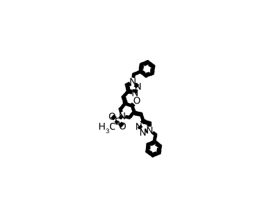 CS(=O)(=O)N1CC(=Cc2cn(Cc3ccccc3)nn2)C(=O)C(=Cc2cn(Cc3ccccc3)nn2)C1